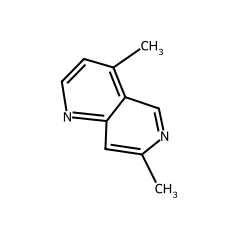 Cc1cc2nccc(C)c2cn1